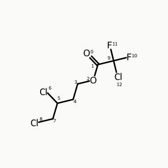 O=C(OCCC(Cl)CCl)C(F)(F)Cl